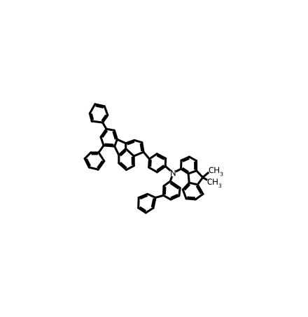 CC1(C)c2ccccc2-c2c(N(c3ccc(-c4ccc5c6c(cccc46)-c4c(-c6ccccc6)cc(-c6ccccc6)cc4-5)cc3)c3cccc(-c4ccccc4)c3)cccc21